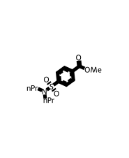 CCCN(CCC)S(=O)(=O)c1ccc(C(=O)OC)cc1